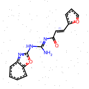 N/C(=N\C(=O)/C=C/c1ccco1)Nc1nc2ccccc2o1